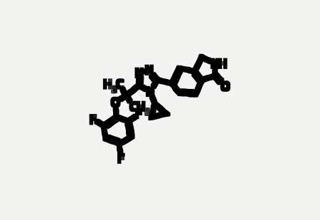 CC(C)(Oc1c(F)cc(F)cc1F)c1nnc(-c2ccc3c(c2)CNC3=O)n1C1CC1